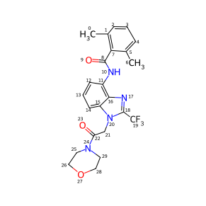 Cc1cccc(C)c1C(=O)Nc1cccc2c1nc(C(F)(F)F)n2CC(=O)N1CCOCC1